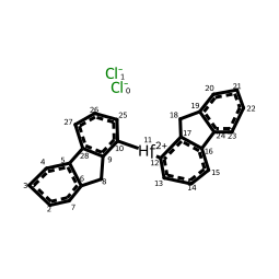 [Cl-].[Cl-].c1ccc2c(c1)Cc1[c]([Hf+2][c]3cccc4c3Cc3ccccc3-4)cccc1-2